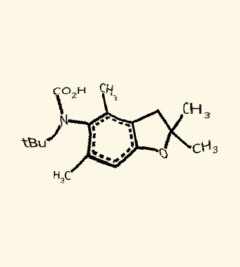 Cc1cc2c(c(C)c1N(C(=O)O)C(C)(C)C)CC(C)(C)O2